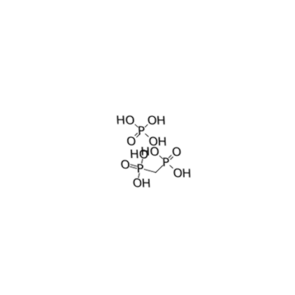 O=P(O)(O)CP(=O)(O)O.O=P(O)(O)O